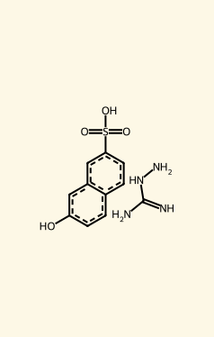 N=C(N)NN.O=S(=O)(O)c1ccc2ccc(O)cc2c1